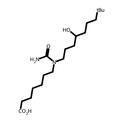 CC(C)(C)CCCC(O)CCCN(CCCCCCC(=O)O)C(N)=O